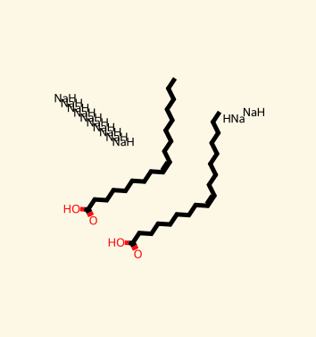 CCCCCCCC/C=C\CCCCCCCC(=O)O.CCCCCCCC/C=C\CCCCCCCC(=O)O.[NaH].[NaH].[NaH].[NaH].[NaH].[NaH].[NaH].[NaH].[NaH].[NaH].[NaH].[NaH]